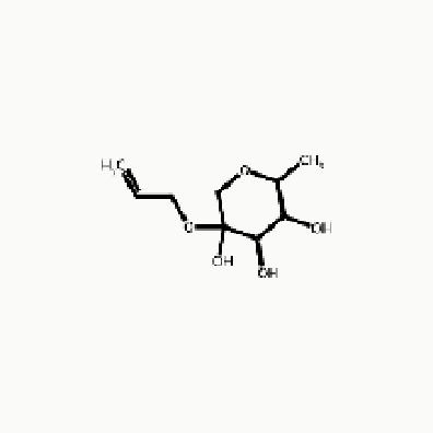 C=CCOC1(O)COC(C)C(O)C1O